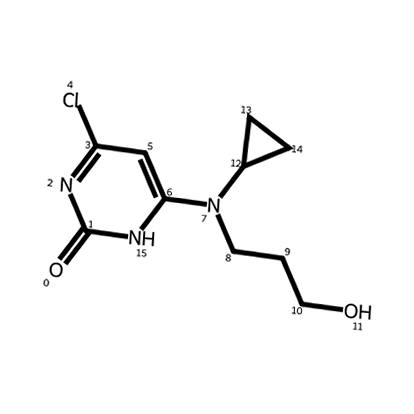 O=c1nc(Cl)cc(N(CCCO)C2CC2)[nH]1